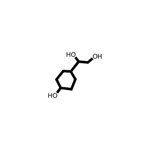 OCC(O)C1CCC(O)CC1